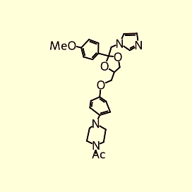 COc1ccc(C2(Cn3ccnc3)OCC(COc3ccc(N4CCN(C(C)=O)CC4)cc3)O2)cc1